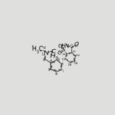 CN(C)Cc1ccccc1.O=C1NS(=O)(=O)c2ccccc21